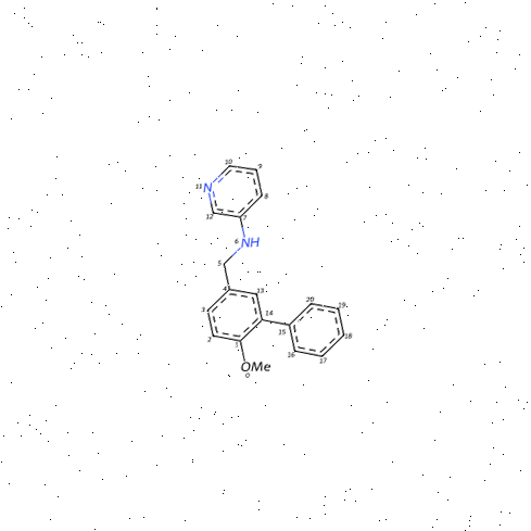 COc1ccc(CNc2cccnc2)cc1-c1ccccc1